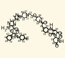 Nc1ncc(-c2cnn(C3CCN(CCOC4CCN(C(=O)Cc5cccc(NC6=CC(=O)N(C7CCC(=O)NC7=O)C6=O)c5)CC4)CC3)c2)nc1C(=O)O[C@@H](C(=O)Nc1ccc(F)cc1)c1ccccc1